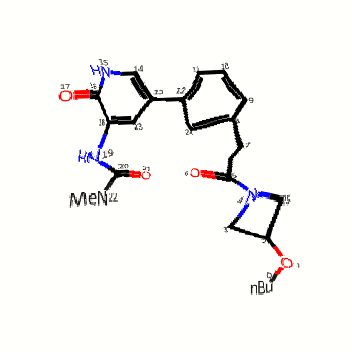 CCCCOC1CN(C(=O)Cc2cccc(-c3c[nH]c(=O)c(NC(=O)NC)c3)c2)C1